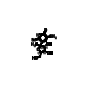 C[C@@]1(n2cc(N)c(=O)[nH]c2=[Se])O[C@H](CO)[C@@H](O)[C@H]1O